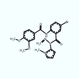 C=NN(C(=O)c1cc(Br)ccc1NC(=O)c1ccc(OC)c(OC)c1)c1cccn1C